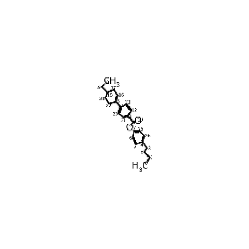 CCCCc1ccc(OC(=O)c2ccc(C3=CCC(CC)CC3)cc2)cc1